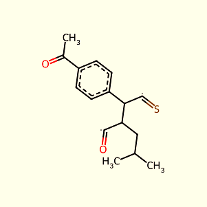 CC(=O)c1ccc(C([C]=S)C([C]=O)CC(C)C)cc1